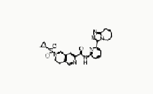 O=C(Nc1cccc(-c2nnc3n2CCCC3)n1)c1cc2c(cn1)CCN(S(=O)(=O)C1CC1)C2